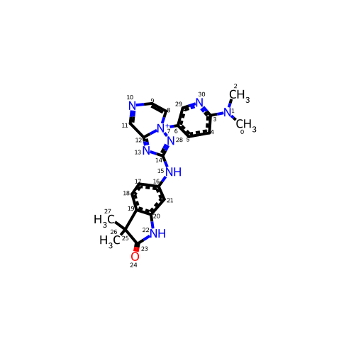 CN(C)c1ccc([N+]23C=CN=CC2=NC(Nc2ccc4c(c2)NC(=O)C4(C)C)=N3)cn1